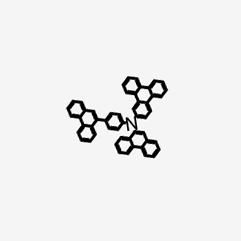 c1ccc2c(c1)cc(-c1ccc(N(c3ccc4c5ccccc5c5ccccc5c4c3)c3cc4ccccc4c4ccccc34)cc1)c1ccccc12